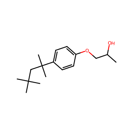 CC(O)COc1ccc(C(C)(C)CC(C)(C)C)cc1